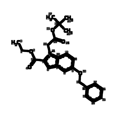 CCOC(=O)c1cc2cc(OCc3ccccc3)ccc2n1CC(=O)OC(C)(C)C